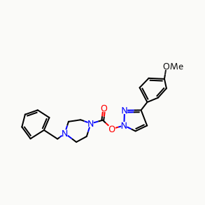 COc1ccc(-c2ccn(OC(=O)N3CCN(Cc4ccccc4)CC3)n2)cc1